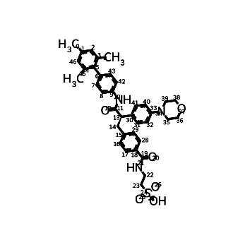 Cc1cc(C)c(-c2ccc(NC(=O)[C@H](Cc3ccc(C(=O)NCCS(=O)(=O)O)cc3)c3ccc(N4CCOCC4)cc3)cc2)c(C)c1